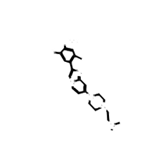 COc1cc(C)c(-c2cn3ccc(N4CCN(CCN(C)C)CC4)cc3n2)cc1Cl